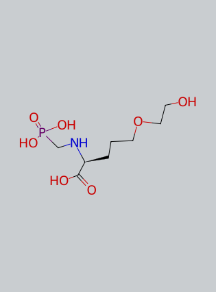 O=C(O)[C@H](CCCOCCO)NCP(=O)(O)O